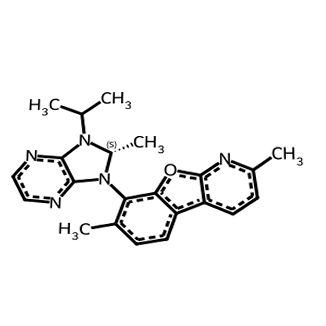 Cc1ccc2c(n1)oc1c(N3c4nccnc4N(C(C)C)[C@@H]3C)c(C)ccc12